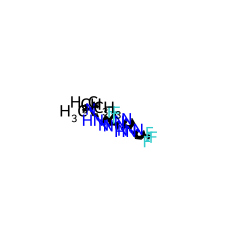 CC(C)N(CCNc1cc(C(F)(F)F)c(-c2cnc3c(Nc4ccc(C(F)(F)F)cn4)ccnc3n2)nn1)C(C)C